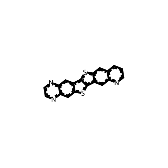 c1cnc2cc3c(cc2c1)sc1c2cc4nccnc4cc2sc31